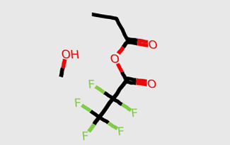 CCC(=O)OC(=O)C(F)(F)C(F)(F)F.CO